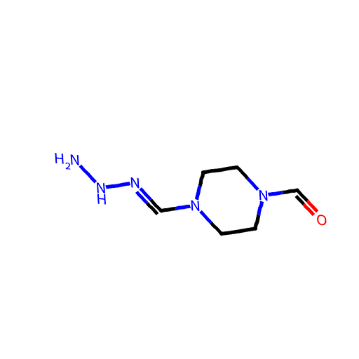 NNN=CN1CCN(C=O)CC1